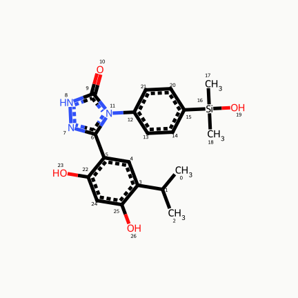 CC(C)c1cc(-c2n[nH]c(=O)n2-c2ccc([Si](C)(C)O)cc2)c(O)cc1O